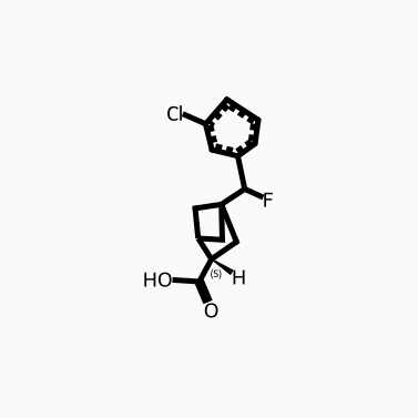 O=C(O)[C@H]1CC2(C(F)c3cccc(Cl)c3)CC1C2